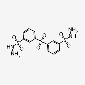 NNS(=O)(=O)c1cccc(S(=O)(=O)c2cccc(S(=O)(=O)NN)c2)c1